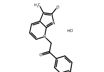 Cc1c2cccn(CC(=O)c3ccccc3)c-2nc1Cl.Cl